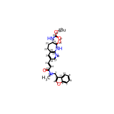 CN(Cc1coc2ccccc12)C(=O)/C=C/c1cnc2c(c1)CC[C@H](NC(=O)OC(C)(C)C)C(=O)N2